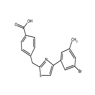 Cc1cc(Br)cc(-c2csc(Cc3ccc(C(=O)O)cc3)n2)c1